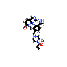 C=CC(=O)N1CCN(Cc2ccc([C@H](C)Nc3ncc4ccc(=O)n(CC)c4n3)cc2)C[C@H]1C